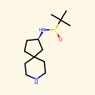 CC(C)(C)[S@@+]([O-])N[C@@H]1CCC2(CCNCC2)C1